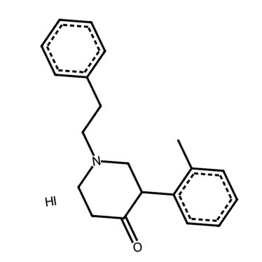 Cc1ccccc1C1CN(CCc2ccccc2)CCC1=O.I